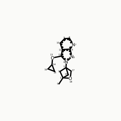 CC12CC(n3nc4ncccc4c3OC3CC3)(CO1)C2